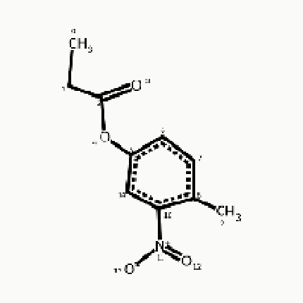 CCC(=O)Oc1ccc(C)c([N+](=O)[O-])c1